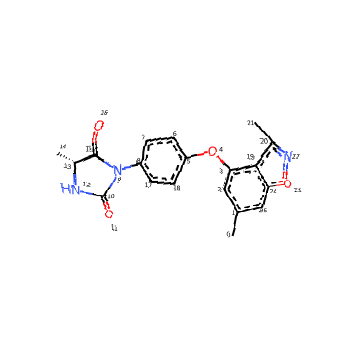 Cc1cc(Oc2ccc(N3C(=O)N[C@H](C)C3=O)cc2)c2c(C)noc2c1